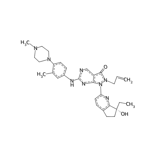 C=CCn1c(=O)c2cnc(Nc3ccc(N4CCN(C)CC4)c(C)c3)nc2n1-c1ccc2c(n1)[C@@](O)(CC)CC2